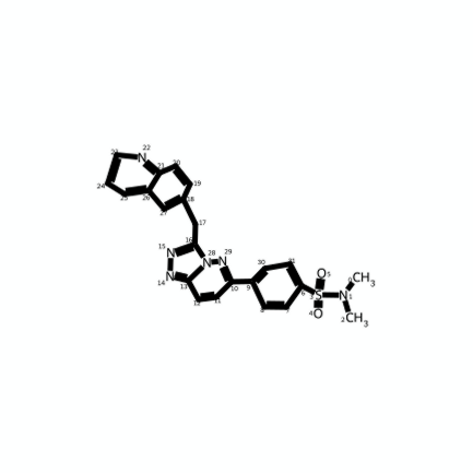 CN(C)S(=O)(=O)c1ccc(-c2ccc3nnc(Cc4ccc5ncccc5c4)n3n2)cc1